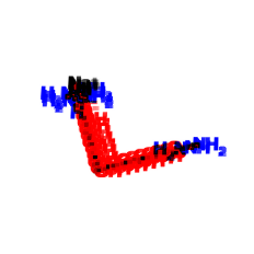 CC(=O)O.CC(=O)O.CC(=O)O.CC(=O)O.CC(=O)O.CC(=O)O.CC(=O)O.CC(=O)O.CC(=O)O.CC(=O)O.CC(=O)O.CC(=O)O.CC(=O)O.CC(=O)O.CC(=O)O.CC(=O)O.CC(=O)[O-].CC(=O)[O-].CC(=O)[O-].CC(=O)[O-].NCCNCCN.NCCNCCN.NCCNCCN.NCCNCCN.[Na+].[Na+].[Na+].[Na+]